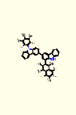 [2H]c1c([2H])c([2H])c(-n2c3ccccc3c3cc(-c4cc(-c5c([2H])c([2H])c6c([2H])c([2H])c([2H])c([2H])c6c5[2H])c5[nH]c6ccccc6c5c4)ccc32)c([2H])c1[2H]